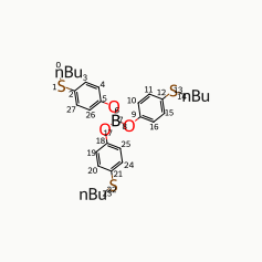 CCCCSc1ccc(OB(Oc2ccc(SCCCC)cc2)Oc2ccc(SCCCC)cc2)cc1